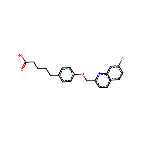 O=C(O)CCCCc1ccc(OCc2ccc3ccc(Cl)cc3n2)cc1